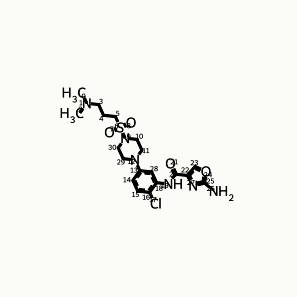 CN(C)CCCS(=O)(=O)N1CCN(c2ccc(Cl)c(NC(=O)c3coc(N)n3)c2)CC1